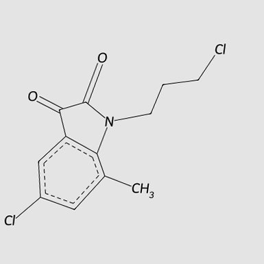 Cc1cc(Cl)cc2c1N(CCCCl)C(=O)C2=O